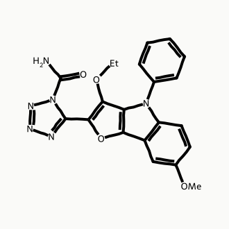 CCOc1c(-c2nnnn2C(N)=O)oc2c3cc(OC)ccc3n(-c3ccccc3)c12